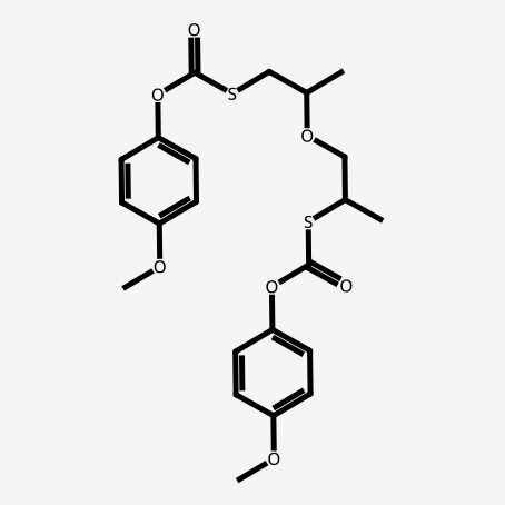 COc1ccc(OC(=O)SCC(C)OCC(C)SC(=O)Oc2ccc(OC)cc2)cc1